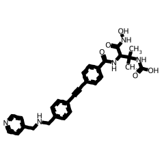 CC(C)(NC(=O)O)C(NC(=O)c1ccc(C#Cc2ccc(CNCc3ccncc3)cc2)cc1)C(=O)NO